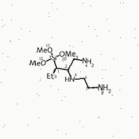 CCC(C(CN)NCCN)[Si](OC)(OC)OC